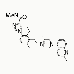 CNC(=O)c1ncn2c1CCc1c-2ccc(C)c1CCN1CCN(c2cccc3nc(C)ccc23)C[C@H]1C